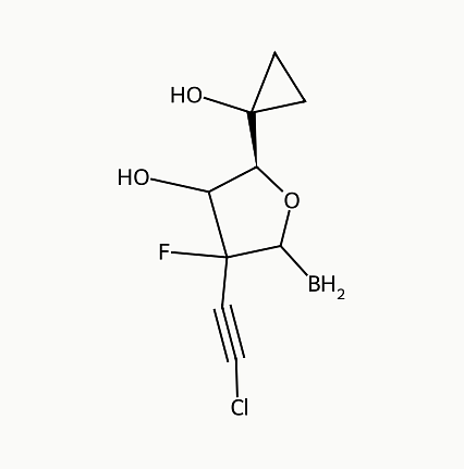 BC1O[C@H](C2(O)CC2)C(O)C1(F)C#CCl